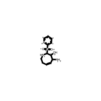 NC1C=CCCNC(S(=O)(=O)c2ccccn2)C1O